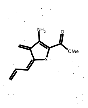 C=C/C=c1/sc(C(=O)OC)c(N)c1=C